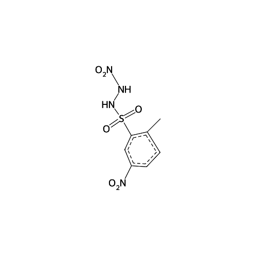 Cc1ccc([N+](=O)[O-])cc1S(=O)(=O)NN[N+](=O)[O-]